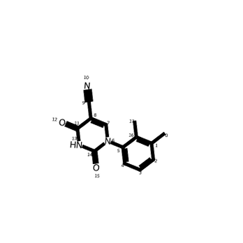 Cc1cccc(-n2cc(C#N)c(=O)[nH]c2=O)c1C